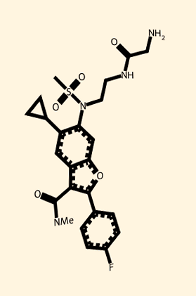 CNC(=O)c1c(-c2ccc(F)cc2)oc2cc(N(CCNC(=O)CN)S(C)(=O)=O)c(C3CC3)cc12